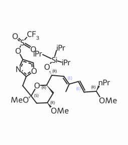 CCC[C@H](/C=C/C(C)=C/[C@@H](O[Si](C(C)C)(C(C)C)C(C)C)[C@H]1C[C@@H](OC)C[C@](Cc2nc(OS(=O)(=O)C(F)(F)F)co2)(OC)O1)OC